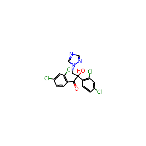 O=C(c1ccc(Cl)cc1Cl)C(O)(Cn1cncn1)c1ccc(Cl)cc1Cl